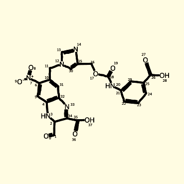 O=CC1Nc2cc([N+](=O)[O-])c(Cn3cnc(COC(=O)Nc4cccc(C(=O)O)c4)c3)cc2N=C1C(=O)O